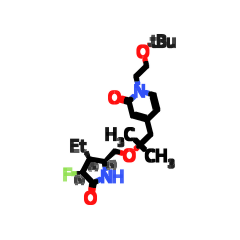 CC[C@@H]1[C@H](F)C(=O)N[C@@H]1COC(C)(C)Cc1ccn(CCOC(C)(C)C)c(=O)c1